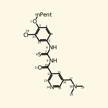 CCCCCOc1ccc(NC(=S)NC(=O)c2cncc(CN(C)C)c2)cc1Cl